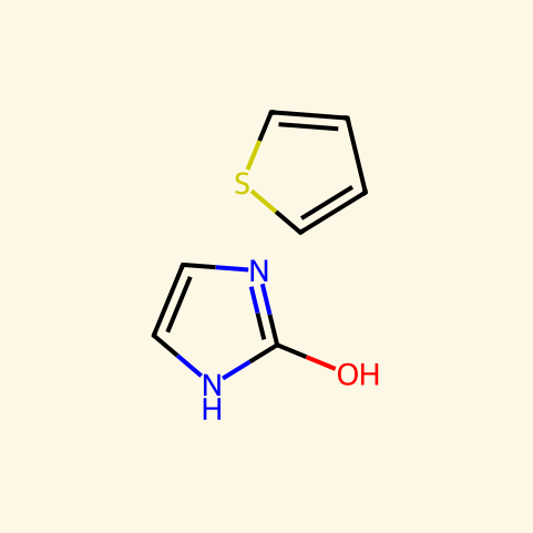 Oc1ncc[nH]1.c1ccsc1